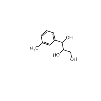 Cc1cccc(C(O)C(O)CO)c1